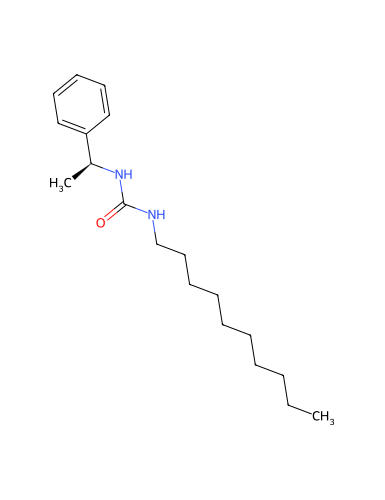 CCCCCCCCCCNC(=O)N[C@@H](C)c1ccccc1